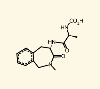 C[C@H](NC(=O)O)C(=O)N[C@H]1Cc2ccccc2CN(C)C1=O